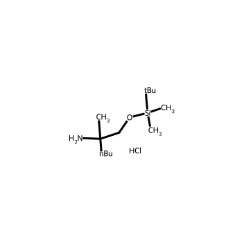 CCCCC(C)(N)CO[Si](C)(C)C(C)(C)C.Cl